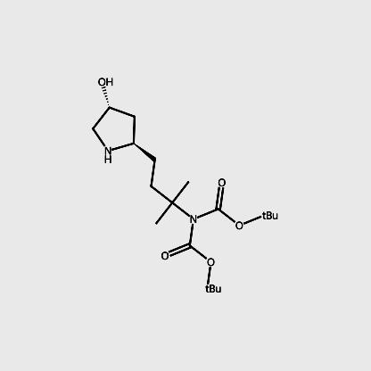 CC(C)(C)OC(=O)N(C(=O)OC(C)(C)C)C(C)(C)CC[C@@H]1C[C@@H](O)CN1